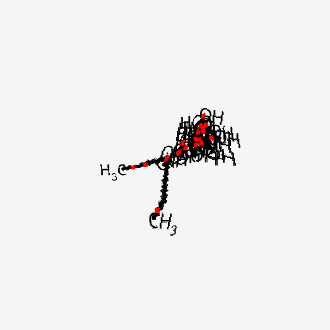 CCCCCCCCCCCCC/C=C/[C@@H](O)[C@H](CO[C@@H]1OC(CO)[C@@H](O[C@@H]2OC(CO)[C@H](O[C@@H]3OC(CO)[C@H](O)[C@H](O[C@@H]4OC(CO)[C@H](O)[C@H](O[C@@H]5OC(CO)[C@H](O)[C@H](O)C5O[C@H]5OC(C)[C@@H](O)C(O)[C@@H]5O)C4NC(C)=O)C3O)[C@H](O)C2O)[C@H](O)C1O)NC(=O)CCCCCCCCCCCCCCCCCCC